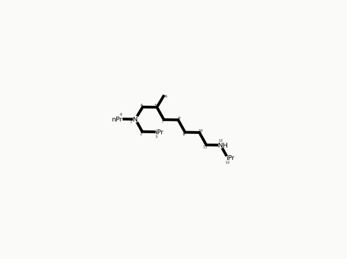 CCCN(CC(C)C)CC(C)CCCCCNC(C)C